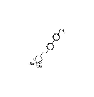 Cc1ccc(-c2ccc(CCC3CO[Si](C(C)(C)C)(C(C)(C)C)OC3)cc2)cc1